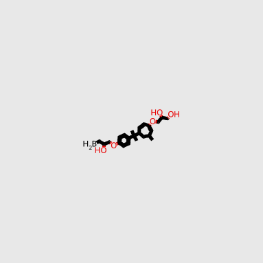 BCC(O)COc1ccc(C(C)(C)C2C=CC(OCC(O)CO)=CC(C)C2)cc1